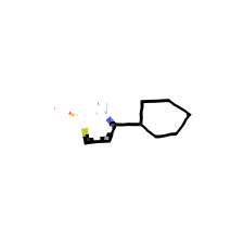 [O-][s+]1ccc(C2CCCCC2)n1